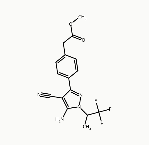 COC(=O)Cc1ccc(-c2nn(C(C)C(F)(F)F)c(N)c2C#N)cc1